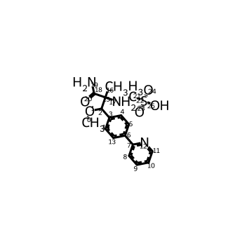 COC(c1ccc(-c2ccccn2)cc1)C(C)(N)C(N)=O.CS(=O)(=O)O